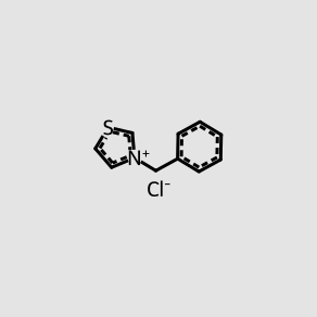 [Cl-].c1ccc(C[n+]2ccsc2)cc1